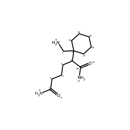 NCC1(C(CCCC(N)=O)C(N)=O)CCCCC1